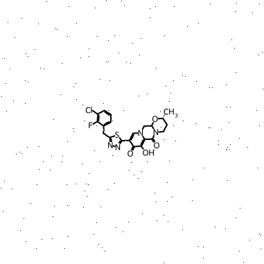 C[C@@H]1CCN2C(=O)c3c(O)c(=O)c(-c4nnc(Cc5cccc(Cl)c5F)s4)cn3CC2O1